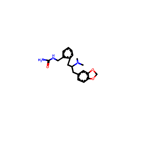 CN(C)C(Cc1ccc2c(c1)OCO2)Cc1ccccc1CNC(N)=O